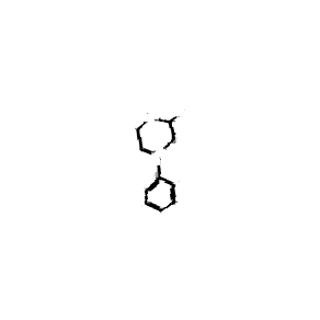 BrC1CN(c2ccccc2)CC[N]1